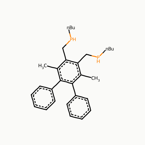 CCCCPCc1c(C)c(-c2ccccc2)c(-c2ccccc2)c(C)c1CPCCCC